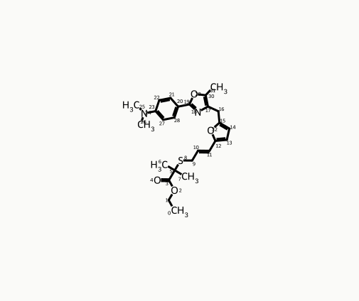 CCOC(=O)C(C)(C)SCC=Cc1ccc(Cc2nc(-c3ccc(N(C)C)cc3)oc2C)o1